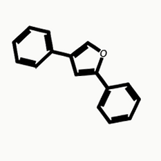 [c]1ccccc1-c1coc(-c2ccccc2)c1